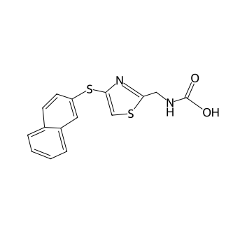 O=C(O)NCc1nc(Sc2ccc3ccccc3c2)cs1